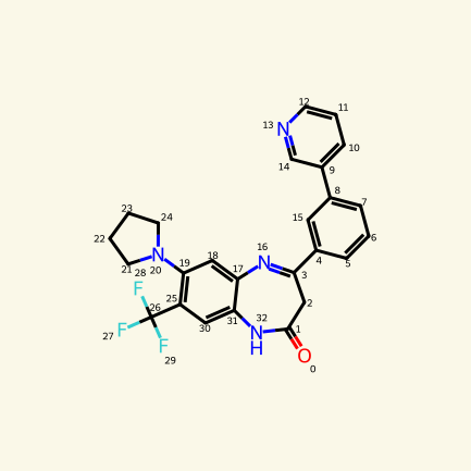 O=C1CC(c2cccc(-c3cccnc3)c2)=Nc2cc(N3CCCC3)c(C(F)(F)F)cc2N1